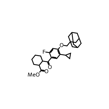 COC(=O)C1CCCCC1C(=O)c1cc(C2CC2)c(OCC23CC4CC(CC(C4)C2)C3)cc1F